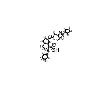 Cc1oc(-c2cccs2)nc1CCOc1ccc2c(c1)C(C(=O)O)N(Cc1ccccc1)CC2